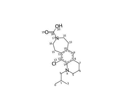 CC(C)CN1CCCc2cc3c(c(Cl)c21)CCN(C(=O)O)CC3